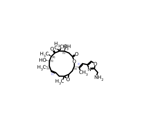 C/C(=C\c1coc(CN)n1)[C@@H]1CC2OC2(C)C/C=C/[C@H](C)[C@H](O)[C@@H](C)C(=O)C(C)(C)[C@@H](O)CC(=O)O1